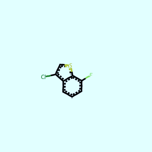 Fc1c[c]cc2c(Cl)csc12